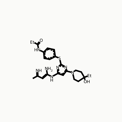 CCC(=O)Nc1ccc(Sc2nc(N/C(N)=C/C(C)=N)cc(N3CCC(O)(CC)CC3)n2)cc1